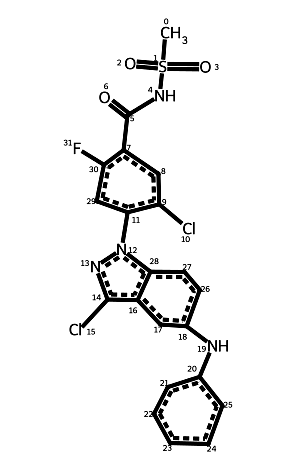 CS(=O)(=O)NC(=O)c1cc(Cl)c(-n2nc(Cl)c3cc(Nc4ccccc4)ccc32)cc1F